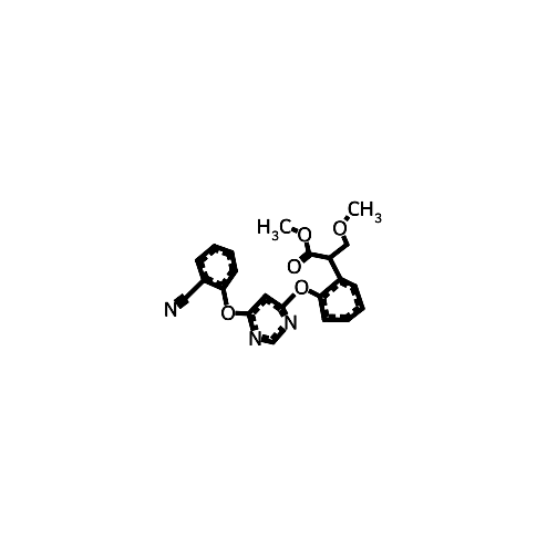 COCC(C(=O)OC)c1ccccc1Oc1cc(Oc2ccccc2C#N)ncn1